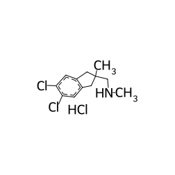 CNCC1(C)Cc2cc(Cl)c(Cl)cc2C1.Cl